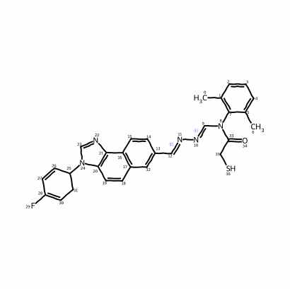 Cc1cccc(C)c1N(/C=N/N=C/c1ccc2c(ccc3c2ncn3C2C=CC(F)=CC2)c1)C(=O)CS